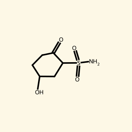 NS(=O)(=O)C1CC(O)CCC1=O